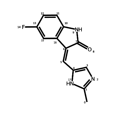 Cc1ncc(C=C2C(=O)Nc3ccc(F)cc32)[nH]1